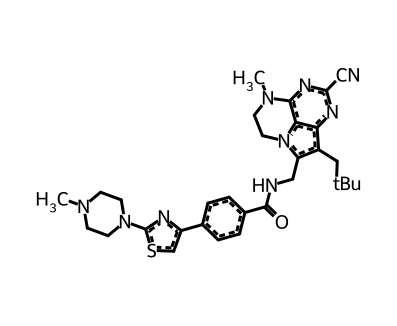 CN1CCN(c2nc(-c3ccc(C(=O)NCc4c(CC(C)(C)C)c5nc(C#N)nc6c5n4CCN6C)cc3)cs2)CC1